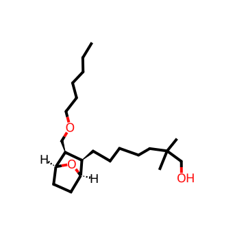 CCCCCCOC[C@H]1[C@@H](CCCCCC(C)(C)CO)[C@H]2CC[C@@H]1O2